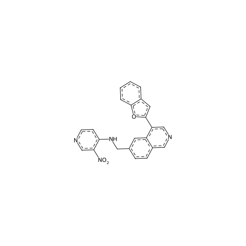 O=[N+]([O-])c1cnccc1NCc1ccc2cncc(-c3cc4ccccc4o3)c2c1